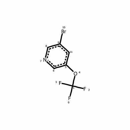 FC(F)(F)Oc1cncc(Br)c1